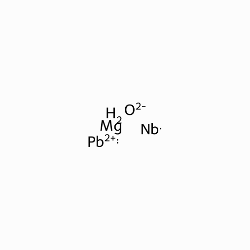 [MgH2].[Nb].[O-2].[Pb+2]